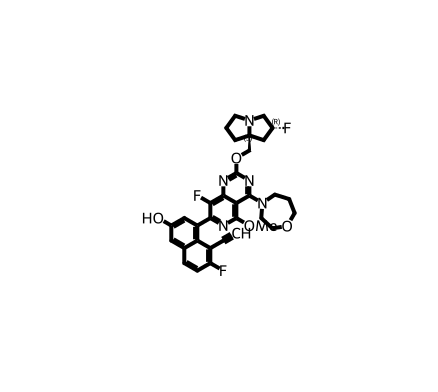 C#Cc1c(F)ccc2cc(O)cc(-c3nc(OC)c4c(N5CCCOCC5)nc(OC[C@@]56CCCN5C[C@H](F)C6)nc4c3F)c12